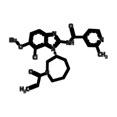 C=CC(=O)N1CCCC[C@@H](n2c(NC(=O)c3ccnc(C)c3)nc3ccc(OC(C)CC)c(Cl)c32)C1